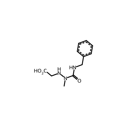 CN(NCC(=O)O)C(=O)NCc1ccccc1